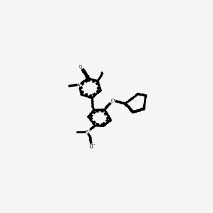 Cc1cc(-c2cc([S+](C)[O-])ccc2OC2CCCC2)cn(C)c1=O